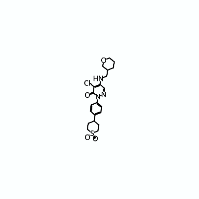 O=c1c(Cl)c(NCC2CCCOC2)cnn1-c1ccc(C2CCS(=O)(=O)CC2)cc1